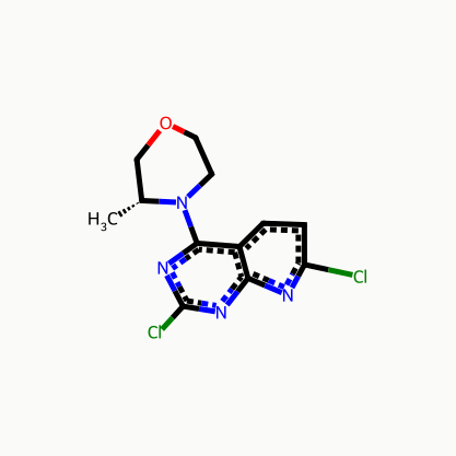 C[C@@H]1COCCN1c1nc(Cl)nc2nc(Cl)ccc12